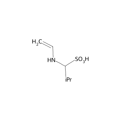 C=CNC(C(C)C)S(=O)(=O)O